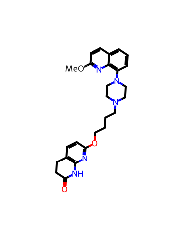 COc1ccc2cccc(N3CCN(CCCCOc4ccc5c(n4)NC(=O)CC5)CC3)c2n1